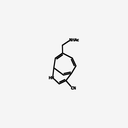 CC(=O)NCC1=CC2C=C(C=C1)C(C#N)=CN2